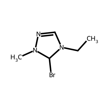 CCN1C=NN(C)C1Br